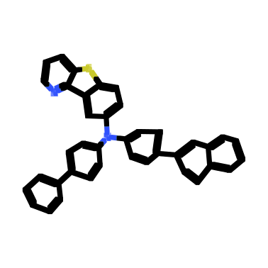 c1ccc(-c2ccc(N(c3ccc(-c4ccc5ccccc5c4)cc3)c3ccc4sc5cccnc5c4c3)cc2)cc1